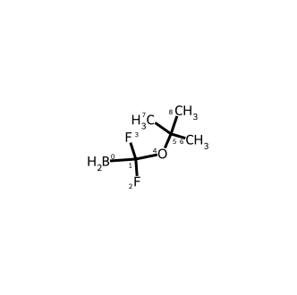 BC(F)(F)OC(C)(C)C